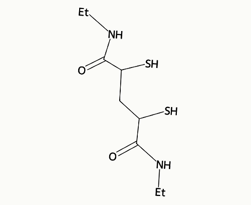 CCNC(=O)C(S)CC(S)C(=O)NCC